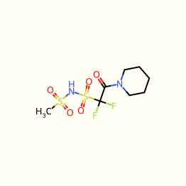 CS(=O)(=O)NS(=O)(=O)C(F)(F)C(=O)N1CCCCC1